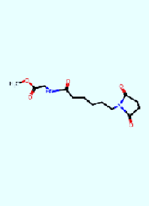 COC(=O)CNC(=O)CCCCCN1C(=O)CCC1=O